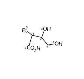 CCC(C(=O)O)C(O)[CH]O